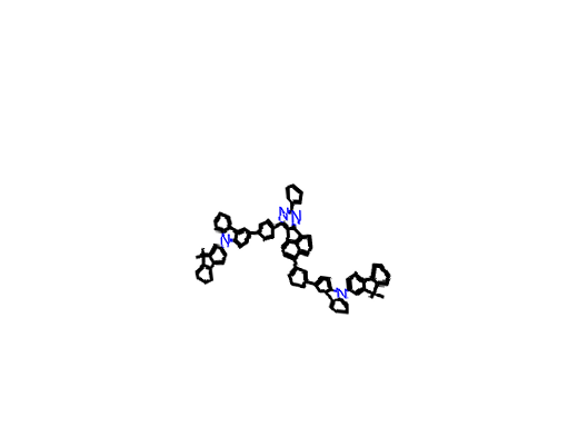 CC1(C)c2ccccc2-c2ccc(-n3c4ccccc4c4cc(-c5ccc(-c6nc(-c7ccccc7)nc7c6-c6ccc(-c8cccc(-c9ccc%10c(c9)c9ccccc9n%10-c9ccc%10c(c9)C(C)(C)c9ccccc9-%10)c8)c8cccc-7c68)cc5)ccc43)cc21